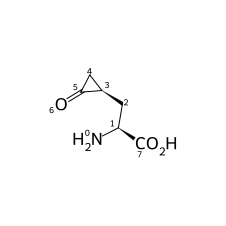 N[C@@H](C[C@@H]1CC1=O)C(=O)O